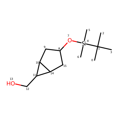 CC(C)(C)[Si](C)(C)OC1CC2C(CO)C2C1